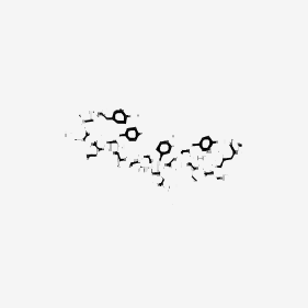 CC(C)C[C@H](NC(=O)[C@H](CCC(=O)O)NC(=O)[C@H](Cc1ccc(O)cc1)NC(=O)[C@H](CC(=O)O)NC(=O)[C@@H](NC(=O)[C@H](Cc1ccc(O)cc1)NC(=O)[C@H](CC(N)=O)NC(=O)CNC(=O)[C@H](Cc1ccc(O)cc1)NC(=O)[C@H](CCC(=O)O)NC(=O)[C@H](CC(C)C)NC(=O)[C@@H](N)Cc1c[nH]cn1)C(C)C)C(=O)N[C@@H](CC(=O)O)C(=O)N[C@@H](Cc1ccc(O)cc1)C(=O)O